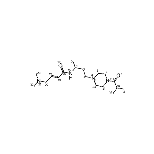 CC(CCN1CCN(C(=O)C(C)C)CC1)NC(=O)/C=C/CN(C)C